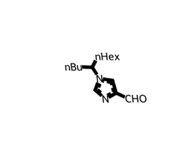 CCCCCCC(CCCC)n1cnc(C=O)c1